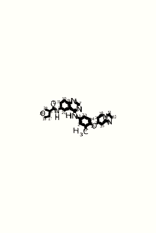 Cc1cc(Nc2ncnc3ccc(NC(=O)C4CCOC4)cc23)ccc1Oc1ccn2ccnc2c1